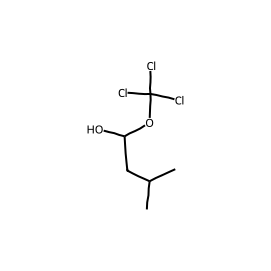 CC(C)CC(O)OC(Cl)(Cl)Cl